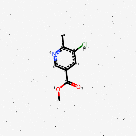 COC(=O)c1cnc(C)c(Cl)c1